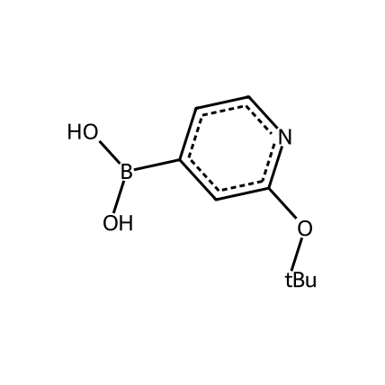 CC(C)(C)Oc1cc(B(O)O)ccn1